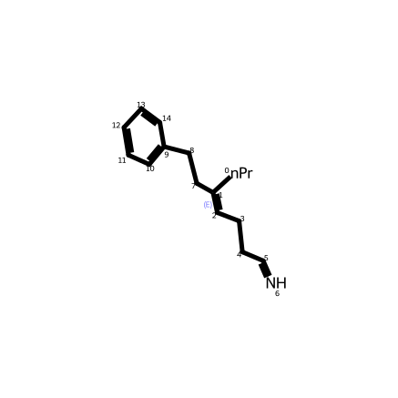 CCC/C(=C\CCC=N)CCc1ccccc1